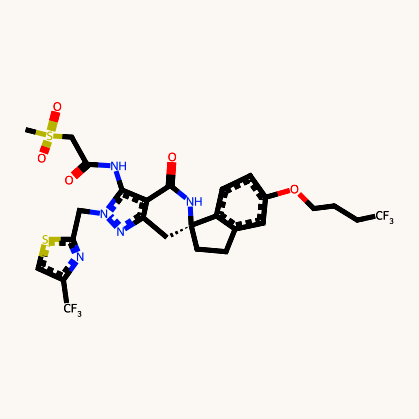 CS(=O)(=O)CC(=O)Nc1c2c(nn1Cc1nc(C(F)(F)F)cs1)C[C@]1(CCc3cc(OCCCC(F)(F)F)ccc31)NC2=O